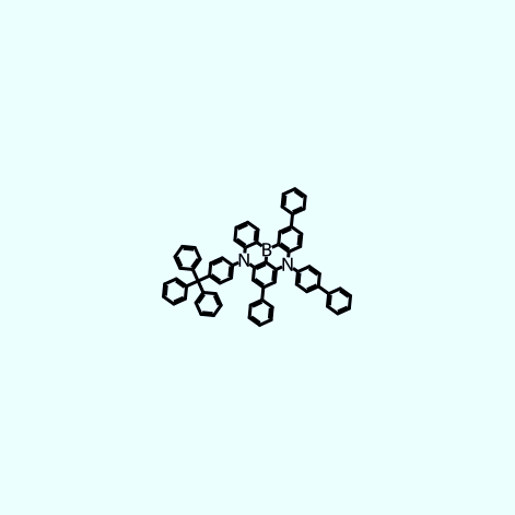 c1ccc(-c2ccc(N3c4ccc(-c5ccccc5)cc4B4c5ccccc5N(c5ccc(C(c6ccccc6)(c6ccccc6)c6ccccc6)cc5)c5cc(-c6ccccc6)cc3c54)cc2)cc1